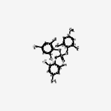 Nc1cc(Cl)c(OP(=O)(Oc2c(Cl)cc(N)cc2Cl)Oc2c(Cl)cc(N)cc2Cl)c(Cl)c1